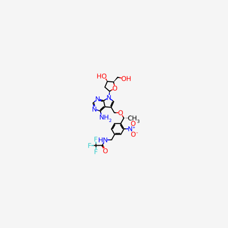 C[C@@H](OCc1cn([C@H]2C[C@@H](O)[C@@H](CO)O2)c2ncnc(N)c12)c1ccc(CNC(=O)C(F)(F)F)cc1[N+](=O)[O-]